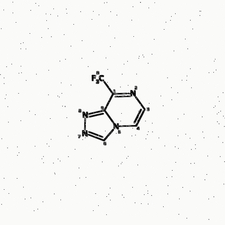 FC(F)(F)c1nccn2cnnc12